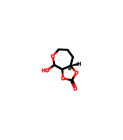 O=C1OC2C(O)OCCC[C@@H]2O1